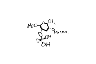 CO[C@H]1O[C@H](C)[C@H](ONC(C)=O)C[C@@H]1OP(=O)(O)O